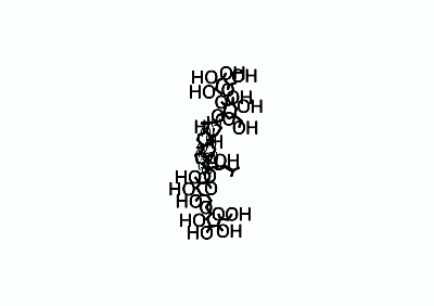 CC(C)=CCC[C@](C)(OC1OC(COC2OC(CO)C(O)C(O)C2O)C(O)C(O)C1O)[C@H]1CC[C@]2(C)[C@@H]1[C@H](O)C[C@@H]1[C@@]3(C)CC[C@H](OC4OC(CO)C(O)C(O)C4OC4OC(CO)C(O)C(O)C4O)C(C)(C)[C@@H]3CC[C@]12C